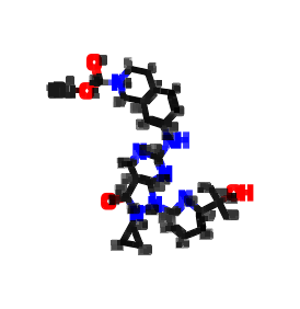 CC(C)(C)OC(=O)N1CCc2ccc(Nc3ncc4c(=O)n(C5CC5)n(-c5cccc(C(C)(C)O)n5)c4n3)cc2C1